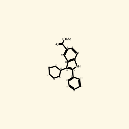 COC(=O)c1ccc2[nH]c(-c3ccccc3)c(C3CCCCC3)c2c1